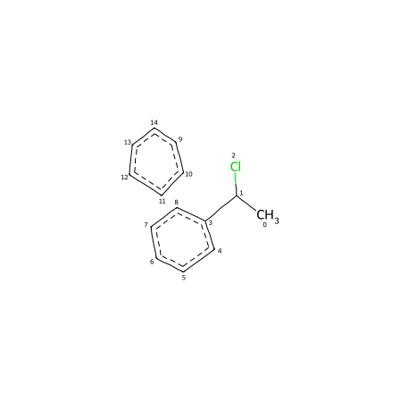 CC(Cl)c1ccccc1.c1ccccc1